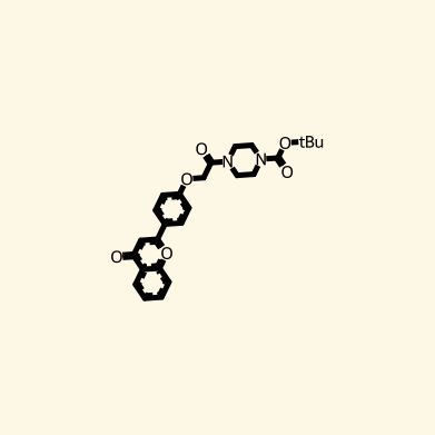 CC(C)(C)OC(=O)N1CCN(C(=O)COc2ccc(-c3cc(=O)c4ccccc4o3)cc2)CC1